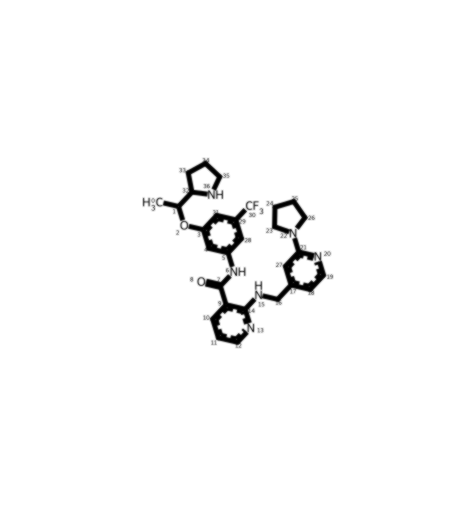 CC(Oc1cc(NC(=O)c2cccnc2NCc2ccnc(N3CCCC3)c2)cc(C(F)(F)F)c1)C1CCCN1